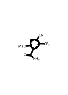 COc1cc(C#N)c(C(F)(F)F)cc1C(N)=O